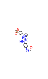 CN1CCOCc2cc(Nc3ncc4ccc(-c5ccc(S(C)(=O)=O)cc5)n4n3)ccc21